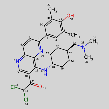 Cc1cc(-c2ccc3ncc(C(=O)C(Cl)Cl)c(N[C@H]4CC[C@H](CN(C)C)CC4)c3n2)cc(C)c1O